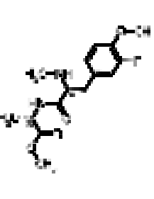 CN[C@@H](Cc1ccc(OC)c(F)c1)C(=O)N[C@@H](C)C(=O)OC